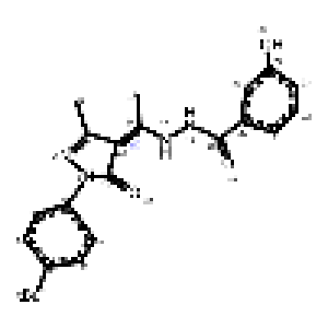 CC1=NN(c2ccc(C(C)(C)C)cc2)C(=O)/C1=C(/C)NNC(=O)c1cccc(O)c1